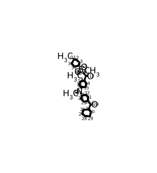 Cc1ccc(S(=O)(=O)C(C)(C)C(=O)c2ccc(N(C)c3ccc(C(=O)c4ccccc4)cc3)cc2)cc1